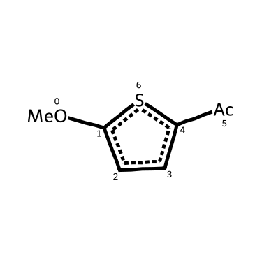 COc1ccc(C(C)=O)s1